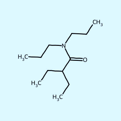 CCCN(CCC)C(=O)C(CC)CC